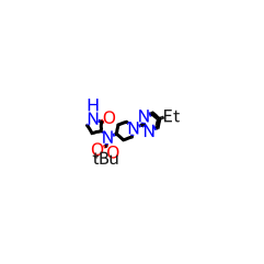 CCc1cnc(N2CCC(N(C(=O)OC(C)(C)C)[C@H]3CCNC3=O)CC2)nc1